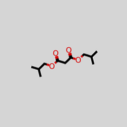 CC(C)COC(=O)CC(=O)OCC(C)C